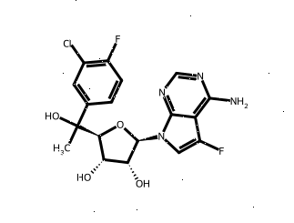 CC(O)(c1ccc(F)c(Cl)c1)[C@H]1O[C@@H](n2cc(F)c3c(N)ncnc32)[C@H](O)[C@@H]1O